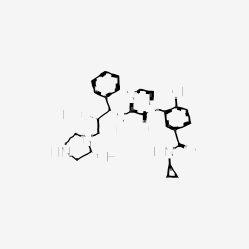 Cc1ccc(C(=O)NC2CC2)cc1-n1ccnc(N[C@@H](c2ccccc2)[C@H](C)CN2CCNC[C@H]2C)c1=O